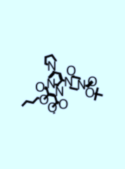 CCCCOc1c(C(=O)OC)nc2c(N3CCN(C(=O)OC(C)(C)C)CC3=O)cc(N3CCCC3)cn2c1=O